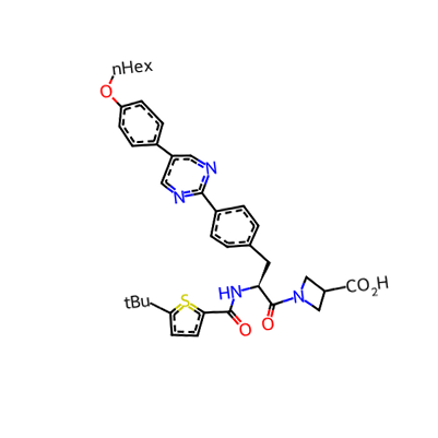 CCCCCCOc1ccc(-c2cnc(-c3ccc(C[C@H](NC(=O)c4ccc(C(C)(C)C)s4)C(=O)N4CC(C(=O)O)C4)cc3)nc2)cc1